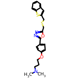 CN(C)CCCOc1ccc(-c2nnc(CSCc3cc4ccccc4s3)o2)cc1